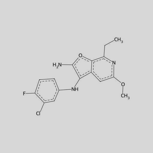 CCc1nc(OC)cc2c(Nc3ccc(F)c(Cl)c3)c(N)oc12